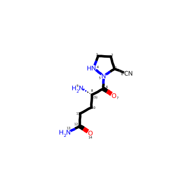 N#CC1CCNN1C(=O)[C@@H](N)CCC(N)=O